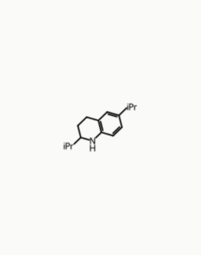 CC(C)c1ccc2c(c1)CCC(C(C)C)N2